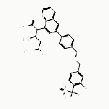 CC(C)CC(C)C(C(=O)O)c1cc(-c2ccc(CSCc3ccc(C(F)(F)P(=O)(O)O)c(Br)c3)cc2)cc2cccnc12